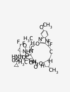 CC[C@@H]1[C@@H]2CN(C(=O)[C@H](C(C)(C)C)NC(=O)O[C@@H]3C[C@H](C)C[C@H]3CCCCC(F)(F)c3nc4ccc(OC)cc4nc3O2)[C@@H]1C(=O)N[C@]1(C(=O)NS(=O)(=O)C2CC2)C[C@H]1C(F)F